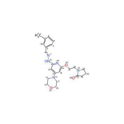 Cc1cccc(/C=N/Nc2cc(N3CCOCC3)cc(OCCN3CCCC3=O)n2)c1